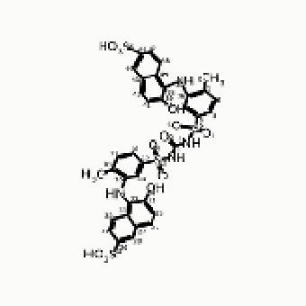 Cc1ccc(S(=O)(=O)NC(=O)NS(=O)(=O)c2ccc(C)c(Nc3c(O)ccc4cc(S(=O)(=O)O)ccc34)c2)cc1Nc1c(O)ccc2cc(S(=O)(=O)O)ccc12